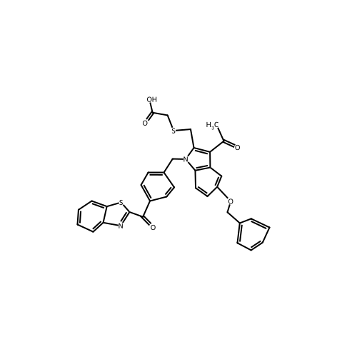 CC(=O)c1c(CSCC(=O)O)n(Cc2ccc(C(=O)c3nc4ccccc4s3)cc2)c2ccc(OCc3ccccc3)cc12